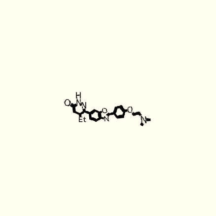 CCC1CC(=O)NN=C1c1ccc2nc(-c3ccc(OCCN(C)C)cc3)oc2c1